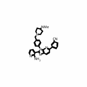 CNC1CCN(Cc2ccc(-n3c(-c4cccnc4N)nc4ccc(-c5cccc(C#N)c5)nc43)cc2)CC1